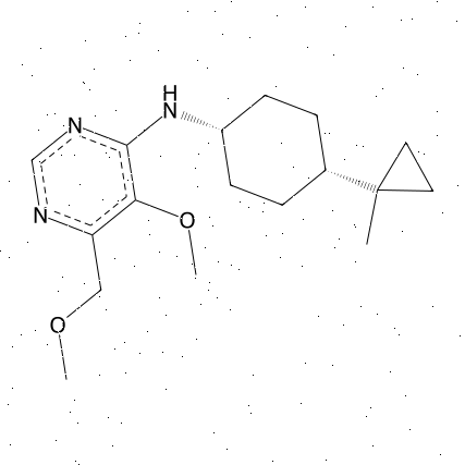 COCc1ncnc(N[C@H]2CC[C@@H](C3(C)CC3)CC2)c1OC